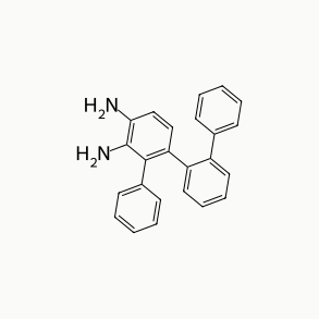 Nc1ccc(-c2ccccc2-c2ccccc2)c(-c2ccccc2)c1N